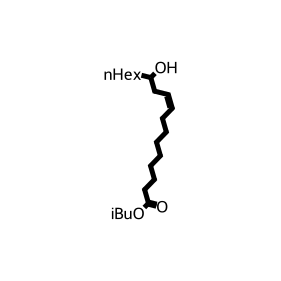 CCCCCCC(O)C/C=C\CCCCCCCC(=O)OCC(C)C